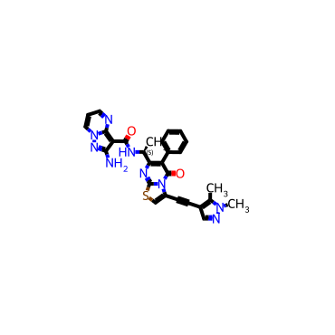 Cc1c(C#Cc2csc3nc([C@H](C)NC(=O)c4c(N)nn5cccnc45)c(-c4ccccc4)c(=O)n23)cnn1C